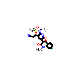 CNC(=O)c1c(-c2ccc(F)cc2)oc2nc(N(C)S(C)(=O)=O)c(C=CC#N)cc12